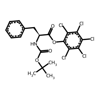 CC(C)(C)OC(=O)N[C@@H](Cc1ccccc1)C(=O)Oc1c(Cl)c(Cl)c(Cl)c(Cl)c1Cl